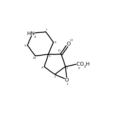 O=C(O)C12OC1CC1(CCNCC1)C2=O